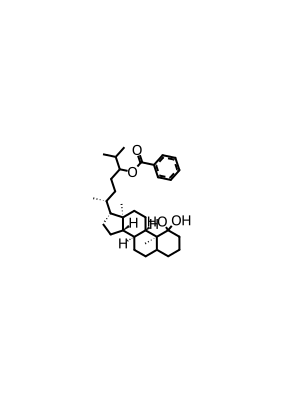 CC(C)C(CC[C@@H](C)[C@H]1CC[C@H]2[C@@H]3CCC4CCCC(O)(O)[C@]4(C)[C@H]3CC[C@]12C)OC(=O)c1ccccc1